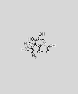 CC(C)(C)C1[C@@H](O)[C@H](O)O[C@H](C(=O)O)[C@H]1O